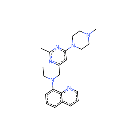 CCN(Cc1cc(N2CCN(C)CC2)nc(C)n1)c1cccc2cccnc12